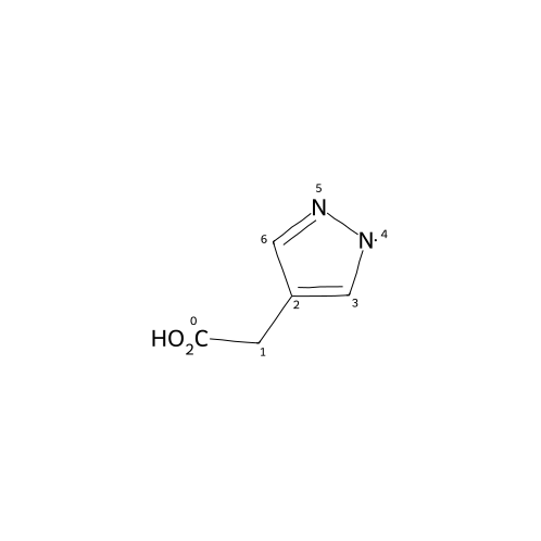 O=C(O)CC1=C[N]N=C1